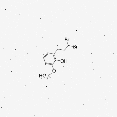 O=C(O)Oc1cccc(CCC(Br)Br)c1O